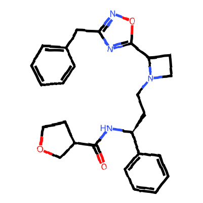 O=C(N[C@@H](CCN1CCC1c1nc(Cc2ccccc2)no1)c1ccccc1)C1CCOC1